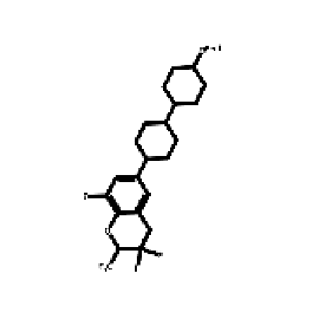 CCCCCC1CCC(C2CCC(c3cc(F)c4c(c3)CC(F)(F)C(C(F)(F)F)O4)CC2)CC1